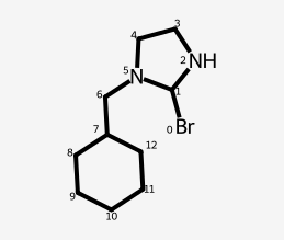 BrC1NCCN1CC1CCCCC1